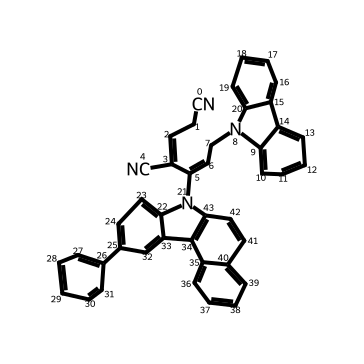 N#CC/C=C(C#N)\C(=C/Cn1c2ccccc2c2ccccc21)n1c2ccc(-c3ccccc3)cc2c2c3ccccc3ccc21